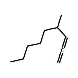 [CH2]C(C=C=C)CCCCC